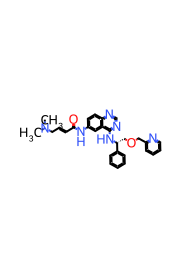 CN(C)C/C=C/C(=O)Nc1ccc2ncnc(N[C@H](COCc3ccccn3)c3ccccc3)c2c1